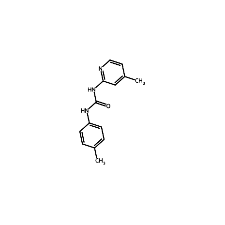 Cc1ccc(NC(=O)Nc2cc(C)ccn2)cc1